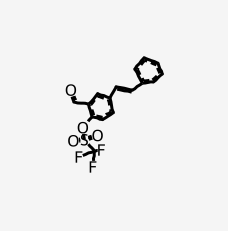 O=Cc1cc(/C=C/c2ccccc2)ccc1OS(=O)(=O)C(F)(F)F